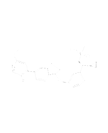 COc1cc(-c2ccc3c(c2)CCC3Oc2cccc([C@@H](CP(C)(=O)O)C3CC3)c2)c(F)cn1